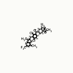 Cc1cc(C(F)(F)F)nn2c(C)c(Cc3c(Cl)ccc(C(=O)N4CCN(S(C)(=O)=O)[C@H](C)C4)c3Cl)nc12